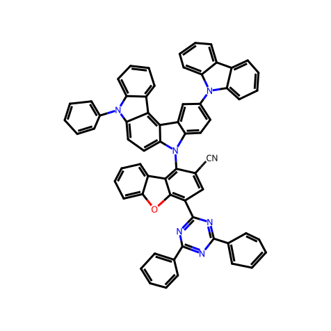 N#Cc1cc(-c2nc(-c3ccccc3)nc(-c3ccccc3)n2)c2oc3ccccc3c2c1-n1c2ccc(-n3c4ccccc4c4ccccc43)cc2c2c3c4ccccc4n(-c4ccccc4)c3ccc21